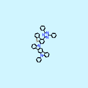 c1ccc(-c2nc(-c3ccccc3)nc(-c3ccc(-n4c5ccccc5c5cc6c(cc54)c4ccccc4n6-c4ccccc4)c4sc5ccccc5c34)n2)cc1